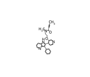 CC#CC(=O)N(C)CCOc1cnccc1-c1[nH]c2cccnc2c1-c1ccccc1